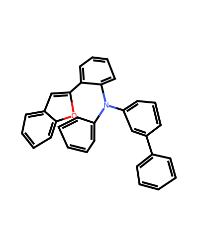 c1ccc(-c2cccc(N(c3ccccc3)c3ccccc3-c3cc4ccccc4o3)c2)cc1